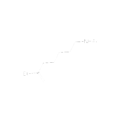 C=C(CC)CCCCCNC(C)=O